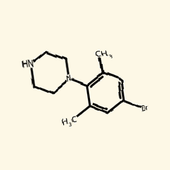 Cc1cc(Br)cc(C)c1N1CCNCC1